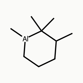 CC1CC[CH2][Al]([CH3])[C]1(C)C